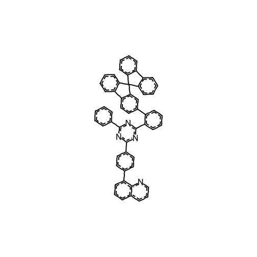 c1ccc(-c2nc(-c3ccc(-c4cccc5cccnc45)cc3)nc(-c3ccccc3-c3ccc4c(c3)C3(c5ccccc5-c5ccccc53)c3ccccc3-4)n2)cc1